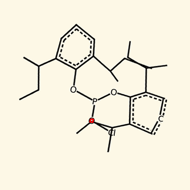 CCC(C)c1cccc(C(C)CC)c1OP(OCl)Oc1c(C(C)CC)cccc1C(C)CC